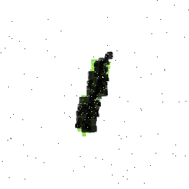 CCCC(F)(F)C(F)(F)C(F)(F)C(F)(F)C(F)(F)C(F)(F)C=CC(F)(F)C(F)(F)C(F)(F)C(F)(F)C(F)(F)C(F)(F)F